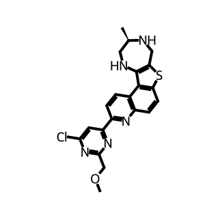 COCc1nc(Cl)cc(-c2ccc3c(ccc4sc5c(c43)NC[C@@H](C)NC5)n2)n1